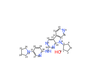 O[C@H]1CCC[C@@H]1n1c2cnccc2c2cnc(Nc3ccc(N4CCCC4)cn3)nc21